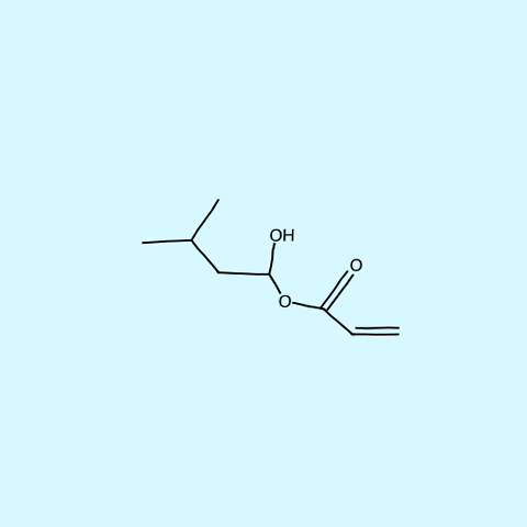 C=CC(=O)OC(O)CC(C)C